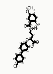 COc1ccc2nnn(CCC(Oc3ccc(-c4ccc(Cl)cc4)cc3)C(=O)O)c(=O)c2c1